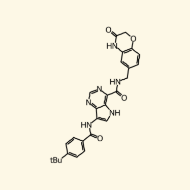 CC(C)(C)c1ccc(C(=O)Nc2c[nH]c3c(C(=O)NCc4ccc5c(c4)NC(=O)CO5)ncnc23)cc1